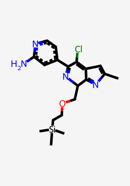 CC1=CC2=C(Cl)C(c3ccnc(N)c3)=NC(COCC[Si](C)(C)C)C2=N1